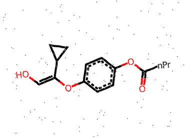 CCCC(=O)Oc1ccc(OC(=CO)C2CC2)cc1